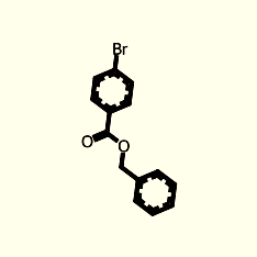 O=C(OCc1ccccc1)c1ccc(Br)cc1